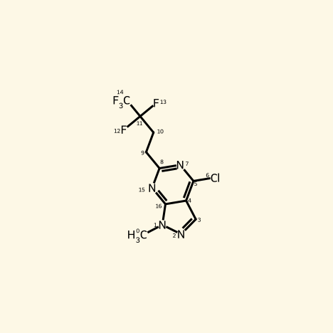 Cn1ncc2c(Cl)nc(CCC(F)(F)C(F)(F)F)nc21